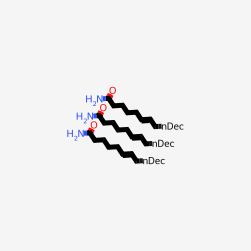 CCCCCCCCCCCC=CCCCCC(N)=O.CCCCCCCCCCCC=CCCCCC(N)=O.CCCCCCCCCCCC=CCCCCC(N)=O